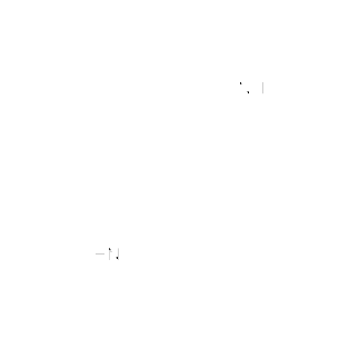 C1=CNCC(c2ccc3cc[nH]c3c2)C1